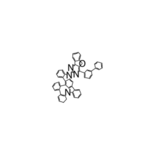 C1=CC2=C(CC1)n1c3ccccc3c3cc4c(c(c31)-c1ccccc12)c1ccccc1n4-c1nc(-c2cccc(-c3ccccc3)c2)c2oc3ccccc3c2n1